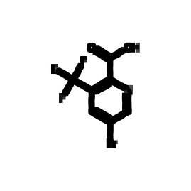 O=C(O)c1ncc(Br)cc1C(F)(F)F